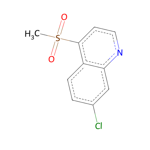 CS(=O)(=O)c1ccnc2cc(Cl)ccc12